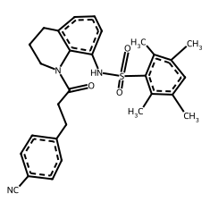 Cc1cc(C)c(C)c(S(=O)(=O)Nc2cccc3c2N(C(=O)CCc2ccc(C#N)cc2)CCC3)c1C